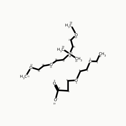 CCOCCOCCC(=O)[O-].COCCOCC[N+](C)(C)CCOC